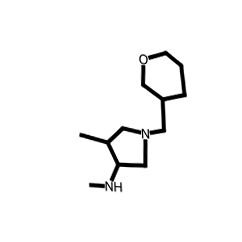 CNC1CN(CC2CCCOC2)CC1C